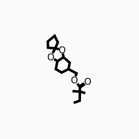 CCC(C)(C)C(=O)OCC1CCC2OC3(CCCC3)OC2C1